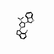 CN(C)[C@H]1CN([C@@H]2CCc3cccc(F)c32)C[C@@H]1C1COc2ccccc21